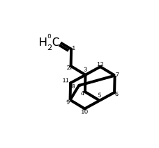 C=C[CH]C12CC3CC(CC(C3)C1)C2